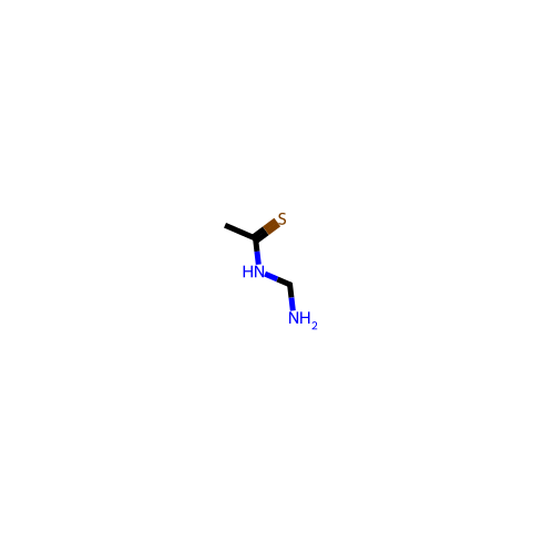 CC(=S)NCN